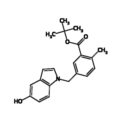 Cc1ccc(Cn2ccc3cc(O)ccc32)cc1C(=O)OC(C)(C)C